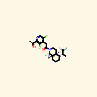 CC(C(F)F)[C@@H]1CCC[C@H]2[C@H]1CCN(C(=O)Cc1c(Cl)cnc([C@H](C)O)c1Cl)[C@H]2C